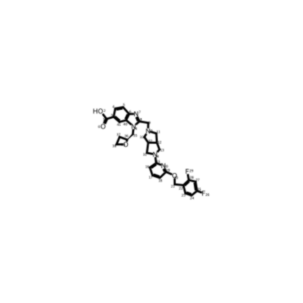 O=C(O)c1ccc2nc(CN3CC4CN(c5cccc(OCc6ccc(F)cc6F)n5)CC4C3)n(C[C@@H]3CCO3)c2c1